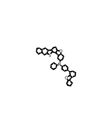 c1ccc(N(c2ccc(-c3cccc4c3oc3ccccc34)cc2)c2ccc3oc4ccc5c6cc7ccccc7cc6sc5c4c3c2)cc1